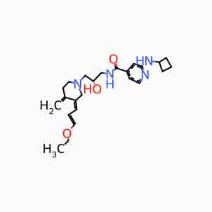 C=C1CCN(C[C@@H](O)CNC(=O)c2ccnc(NC3CCC3)c2)C/C1=C/C=C/OCC